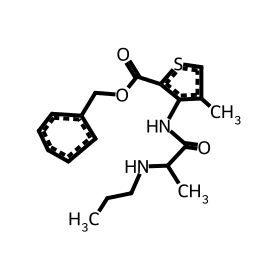 CCCNC(C)C(=O)Nc1c(C)csc1C(=O)OCc1ccccc1